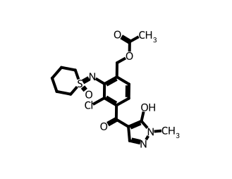 CC(=O)OCc1ccc(C(=O)c2cnn(C)c2O)c(Cl)c1N=S1(=O)CCCCC1